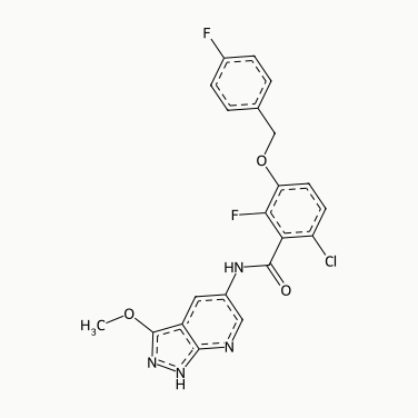 COc1n[nH]c2ncc(NC(=O)c3c(Cl)ccc(OCc4ccc(F)cc4)c3F)cc12